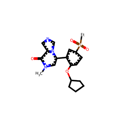 CCS(=O)(=O)c1ccc(OC2CCCC2)c(-c2cn(C)c(=O)c3cncn23)c1